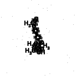 CNC(=O)[C@@](C)(C(=O)NO)N(C)C(=O)c1ccc(-c2ccc(OCC3(C)COC3)cc2)cc1